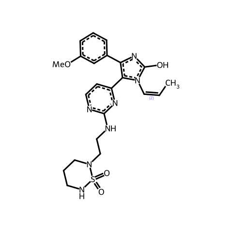 C/C=C\n1c(O)nc(-c2cccc(OC)c2)c1-c1ccnc(NCCN2CCCNS2(=O)=O)n1